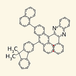 CC1(C)c2ccccc2-c2cc(-c3c4ccccc4c(-c4nc5ccccc5nc4-c4ccccc4)c4ccc(-c5cccc6ccccc56)cc34)ccc21